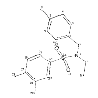 CCN(Cc1ccc(C)cc1)S(=O)(=O)c1ccc(C)c(C)c1